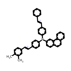 Cc1ccc(/C=C/c2ccc(N(c3ccc(/C=C/c4ccccc4)cc3)c3ccc4ccc5ccccc5c4c3)cc2)cc1C